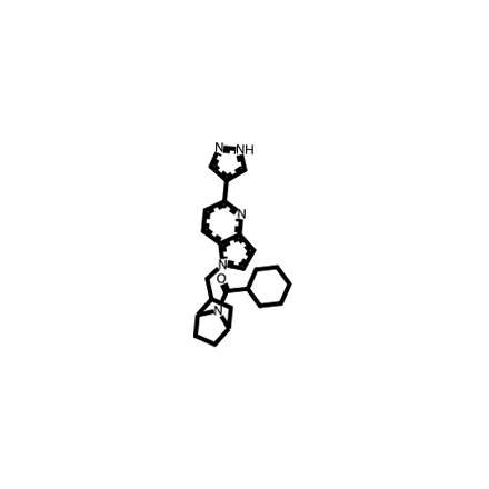 O=C(C1CCCCC1)N1C2CCC1C(Cn1ccc3nc(-c4cn[nH]c4)ccc31)C2